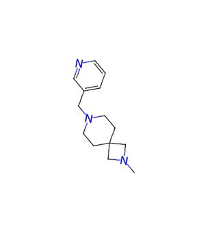 CN1CC2(CCN(Cc3cccnc3)CC2)C1